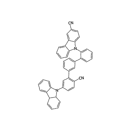 N#Cc1ccc2c(c1)c1ccccc1n2-c1ccccc1-c1cccc(-c2cc(N3c4ccccc4C4C=CC=CC43)ccc2C#N)c1